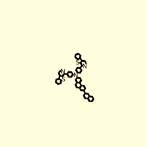 c1ccc2cc(-c3ccc4c(ccc5cc(N(c6ccc(-c7nccc8c7sc7ccccc78)cc6)c6ccc(-c7nccc8c7sc7ccccc78)cc6)ccc54)c3)ccc2c1